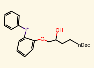 CCCCCCCCCCCCC(O)COc1ccccc1[I+]c1ccccc1